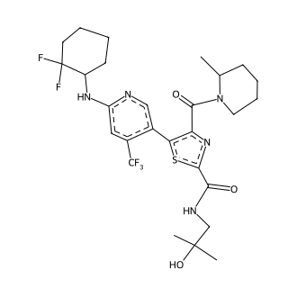 CC1CCCCN1C(=O)c1nc(C(=O)NCC(C)(C)O)sc1-c1cnc(NC2CCCCC2(F)F)cc1C(F)(F)F